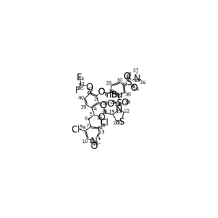 CCCCOc1cc([C@H](Cc2c(Cl)c[n+]([O-])cc2Cl)OC(=O)[C@@H]2CSCN2S(=O)(=O)c2cccc(S(=O)(=O)N(C)C)c2)ccc1OC(F)F